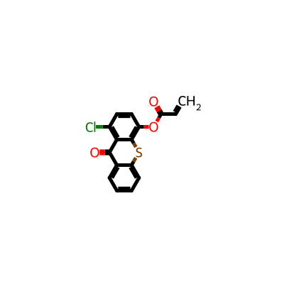 C=CC(=O)Oc1ccc(Cl)c2c(=O)c3ccccc3sc12